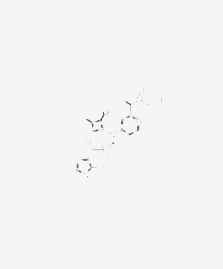 Cc1nc2c(s1)C(Nc1c(Nc3ccnc(C(=O)N(C)CC(F)(F)F)c3O)c(=O)c1=O)C(C)(C)CC2